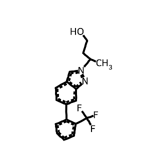 CC(CCO)n1cc2ccc(-c3ccccc3C(F)(F)F)cc2n1